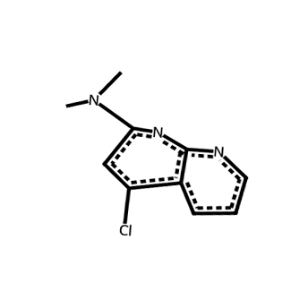 CN(C)c1cc(Cl)c2cccnc2n1